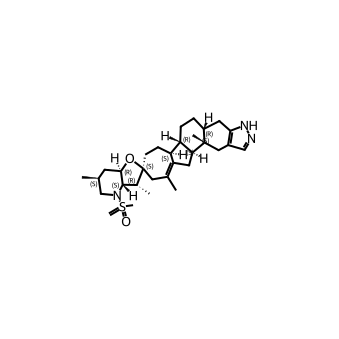 C=S(C)(=O)N1C[C@@H](C)C[C@H]2O[C@]3(CC[C@@H]4C(=C(C)C3)C[C@H]3[C@H]4CC[C@@H]4Cc5[nH]ncc5C[C@@]43C)[C@H](C)[C@@H]21